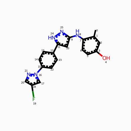 Cc1cc(O)ccc1Nc1cc(-c2ccc(-n3cc(F)cn3)cc2)[nH]n1